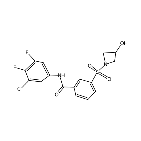 O=C(Nc1cc(F)c(F)c(Cl)c1)c1cccc(S(=O)(=O)N2CC(O)C2)c1